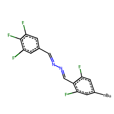 CCCCc1cc(F)c(/C=N/N=C/c2cc(F)c(F)c(F)c2)c(F)c1